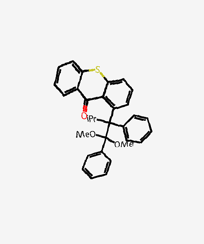 COC(OC)(c1ccccc1)C(c1ccccc1)(c1cccc2sc3ccccc3c(=O)c12)C(C)C